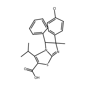 CC(C)C1=C(C(=O)O)SC2=NC(C)(c3ccc(Cl)cc3)C(c3ccccc3)N21